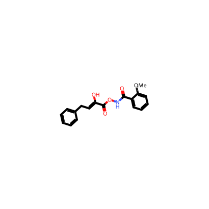 COc1ccccc1C(=O)NOC(=O)C(O)=CCc1ccccc1